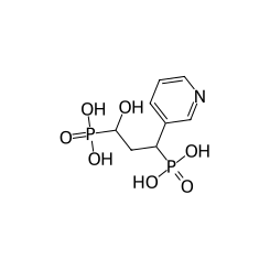 O=P(O)(O)C(O)CC(c1cccnc1)P(=O)(O)O